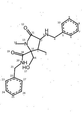 CC1C(NCc2ccccc2)C(=O)N(C)C1(CO)C(=O)NCc1ccccc1